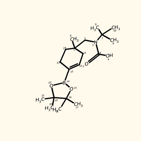 CC1(CN(C(=O)O)C(C)(C)C)CC=C(B2OC(C)(C)C(C)(C)O2)CC1